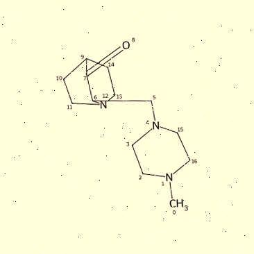 CN1CCN(CC2C(=O)C3CCN2CC3)CC1